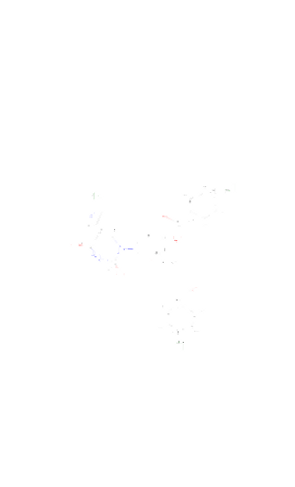 O=C(OC[C@H]1O[C@@H](n2cc(/C=C/Br)c(=O)[nH]c2=O)C[C@@H]1OC(=O)c1ccc(Cl)cc1)c1ccc(Cl)cc1